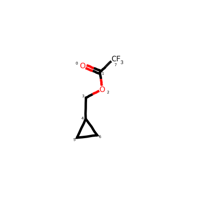 O=C(OCC1CC1)C(F)(F)F